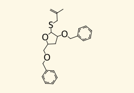 C=C(C)CSC1OC(COCc2ccccc2)CC1OCc1ccccc1